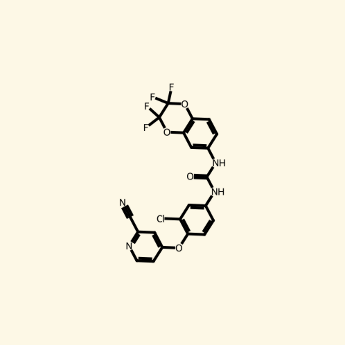 N#Cc1cc(Oc2ccc(NC(=O)Nc3ccc4c(c3)OC(F)(F)C(F)(F)O4)cc2Cl)ccn1